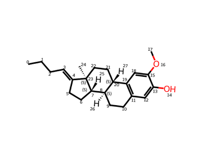 CCCC=C1CC[C@H]2[C@@H]3CCc4cc(O)c(OC)cc4[C@H]3CC[C@]12C